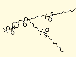 CCCCCCCCCSC(=O)C(C)(C)CCCCCC(CCCCCC(C)(C)C(=O)SCCCCCCCCC)OC(=O)CC1CCN(C(=O)OC(C)(C)C)CC1